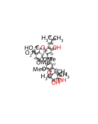 COc1cc(C(Oc2cc(/C=C/c3cc4c(c(OC)c3)O[C@]3(C)C[C@@H](O)[C@@H](O)C(C)(C)C3C4)cc(O)c2CC=C(C)C)C(=O)O)c([N+](=O)[O-])cc1OC